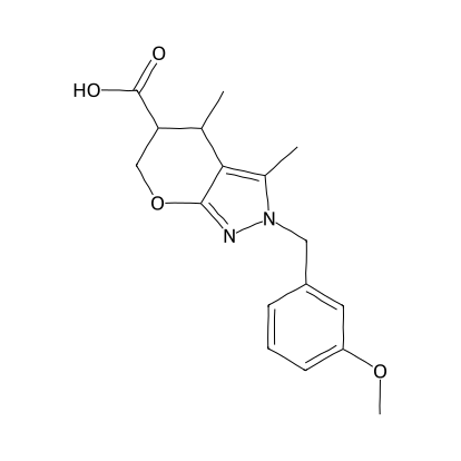 COc1cccc(Cn2nc3c(c2C)C(C)C(C(=O)O)CO3)c1